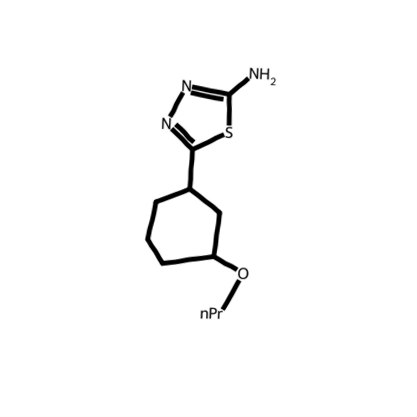 CCCOC1CCCC(c2nnc(N)s2)C1